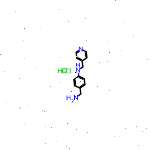 Cl.Cl.NCc1ccc(NCc2ccncc2)cc1